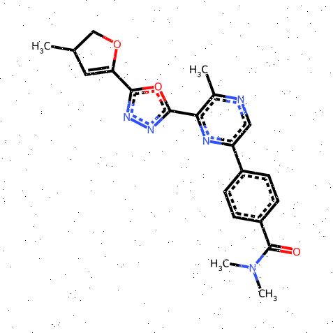 Cc1ncc(-c2ccc(C(=O)N(C)C)cc2)nc1-c1nnc(C2=CC(C)CO2)o1